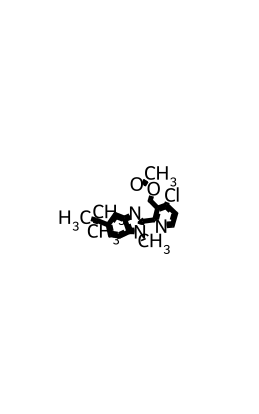 CC(=O)OCc1c(Cl)ccnc1-c1nc2cc(C(C)(C)C)ccc2n1C